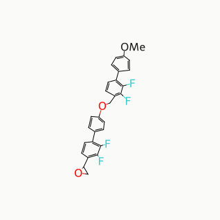 COc1ccc(-c2ccc(COc3ccc(-c4ccc(C5CO5)c(F)c4F)cc3)c(F)c2F)cc1